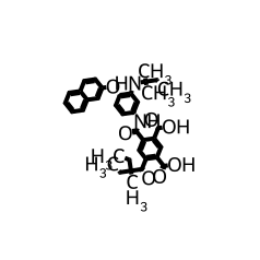 CCC(C)(C)Nc1cc(NC(=O)c2cc(C(=O)C(C)(CC)CC)c(C(=O)O)cc2C(=O)O)ccc1Oc1ccc2ccccc2c1